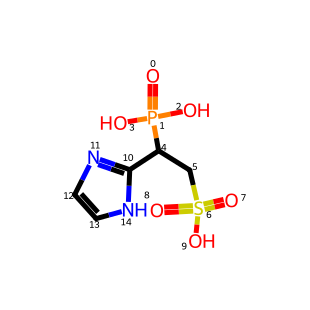 O=P(O)(O)C(CS(=O)(=O)O)c1ncc[nH]1